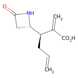 C=CC[C@H](C(=C)C(=O)O)[C@@H]1CC(=O)N1